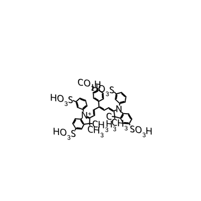 CC1(C)C(/C=C/C(=C/C=C2/N(c3cccc(S(=O)(=O)O)c3)c3ccc(S(=O)(=O)O)cc3C2(C)C)c2ccc(C(=O)O)cc2)=[N+](c2cccc(S(=O)(=O)O)c2)c2ccc(S(=O)(=O)O)cc21